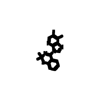 Cc1cnc2c(ncn2C2=NC(C)(C)Sc3ccccc32)c1C